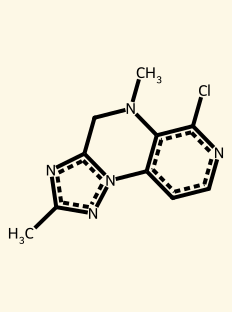 Cc1nc2n(n1)-c1ccnc(Cl)c1N(C)C2